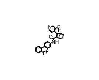 O=C(Nc1ccc(-c2ccccc2F)c(F)c1)C1=C(c2ccncc2F)[C@@H]2CCC1O2